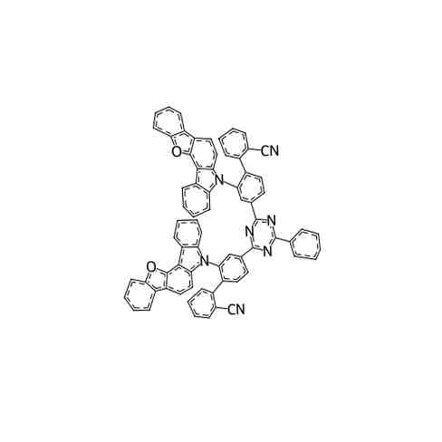 N#Cc1ccccc1-c1ccc(-c2nc(-c3ccccc3)nc(-c3ccc(-c4ccccc4C#N)c(-n4c5ccccc5c5c6oc7ccccc7c6ccc54)c3)n2)cc1-n1c2ccccc2c2c3oc4ccccc4c3ccc21